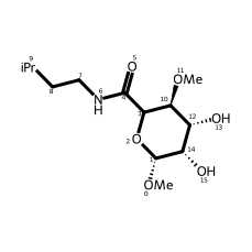 CO[C@@H]1OC(C(=O)NCCC(C)C)[C@@H](OC)[C@H](O)[C@@H]1O